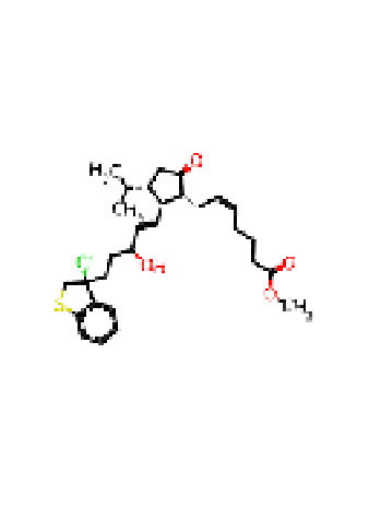 COC(=O)CCC/C=C\C[C@H]1C(=O)C[C@@H](C(C)C)[C@@H]1/C=C/C(O)CCC1(Cl)CSc2ccccc21